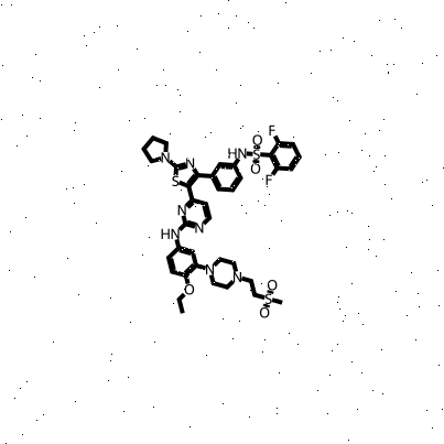 CCOc1ccc(Nc2nccc(-c3sc(N4CCCC4)nc3-c3cccc(NS(=O)(=O)c4c(F)cccc4F)c3)n2)cc1N1CCN(CCS(C)(=O)=O)CC1